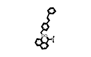 CN(C)C(=O)c1cccc2cccc(OCc3ccc(/C=C/c4ccccc4)cc3)c12